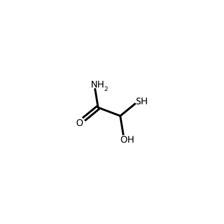 NC(=O)C(O)S